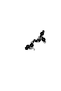 COc1ccc(CN(Cc2ccc(OC)cc2)S(=O)(=O)c2ccn(C(C)(C)CN(C)CCOc3cc(-c4ccc5c(c4N)CCC5)ccn3)n2)cc1